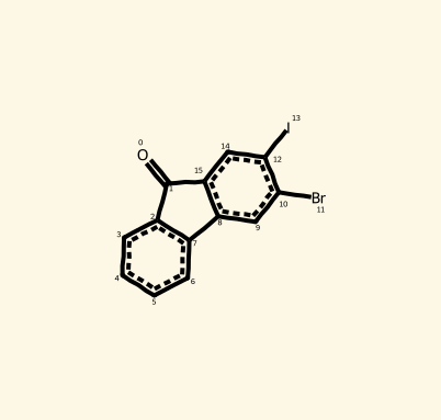 O=C1c2ccccc2-c2cc(Br)c(I)cc21